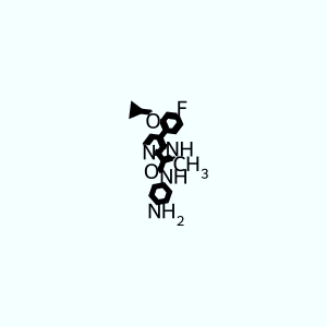 Cc1[nH]c2c(-c3ccc(F)cc3OCC3CC3)ccnc2c1C(=O)N[C@H]1CC[C@H](N)CC1